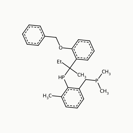 CCC(C)(Pc1c(C)cccc1CP(C)C)c1ccccc1OCc1ccccc1